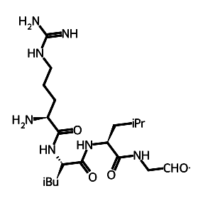 CC[C@H](C)[C@H](NC(=O)[C@@H](N)CCCNC(=N)N)C(=O)N[C@@H](CC(C)C)C(=O)NC[C]=O